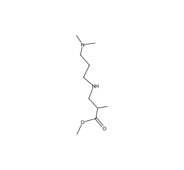 COC(=O)C(C)CNCCCN(C)C